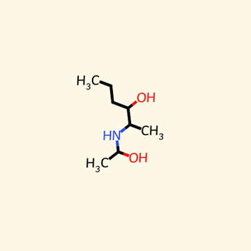 CCCC(O)C(C)NC(C)O